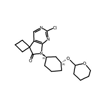 O=C1N([C@@H]2CCC[C@@H](OC3CCCCO3)C2)c2nc(Cl)ncc2C12CCC2